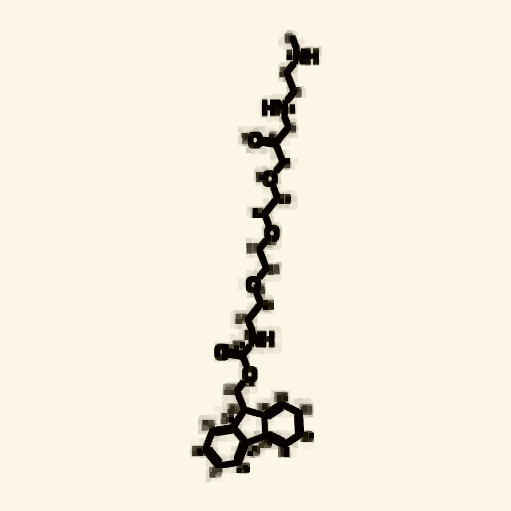 CNCCNCC(=O)COCCOCCOCCNC(=O)OCC1c2ccccc2-c2ccccc21